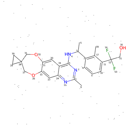 Cc1nc(NC(C)c2cccc(C(F)(F)CO)c2C)c2cc3c(cc2n1)OCC1(CC1)CO3